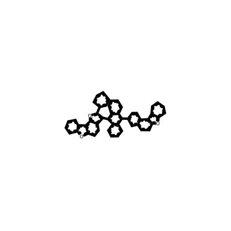 c1ccc(-c2oc3c(ccc4oc5ccccc5c43)c2-c2c3ccccc3c(-c3ccc4c(ccc5oc6ccccc6c54)c3)c3ccccc23)cc1